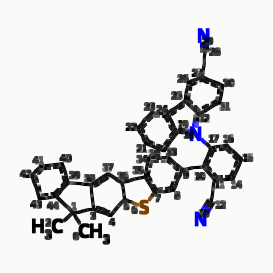 CC1(C)C2=CC3Sc4cc(-c5c(C#N)cccc5-n5c6ccccc6c6cc(C#N)ccc65)ccc4C3C=C2c2ccccc21